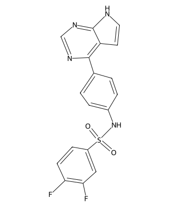 O=S(=O)(Nc1ccc(-c2ncnc3[nH]ccc23)cc1)c1ccc(F)c(F)c1